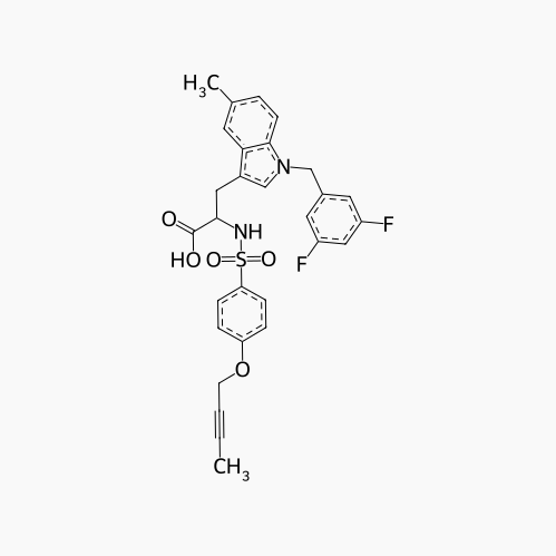 CC#CCOc1ccc(S(=O)(=O)NC(Cc2cn(Cc3cc(F)cc(F)c3)c3ccc(C)cc23)C(=O)O)cc1